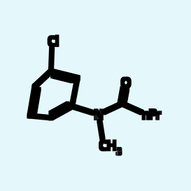 CCCC(=O)N(C)c1cccc(Cl)c1